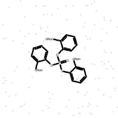 CCCCCCCCCc1ccccc1OP(=O)(Oc1ccccc1CCCCCCCCC)Sc1ccccc1CCCCCCCCC